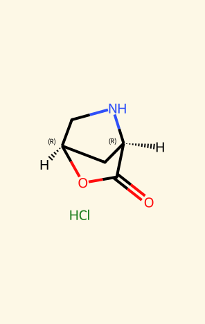 Cl.O=C1O[C@H]2CN[C@@H]1C2